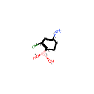 Nc1ccc(B(O)O)c(Cl)c1